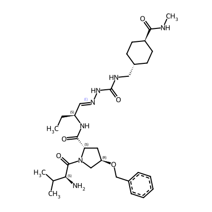 CC[C@@H](/C=N/NC(=O)NC[C@H]1CC[C@H](C(=O)NC)CC1)NC(=O)[C@@H]1C[C@@H](OCc2ccccc2)CN1C(=O)[C@@H](N)C(C)C